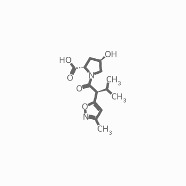 Cc1cc([C@@H](C(=O)N2C[C@H](O)C[C@H]2C(=O)O)C(C)C)on1